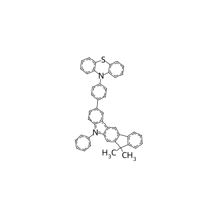 CC1(C)c2ccccc2-c2cc3c4cc(-c5ccc(N6c7ccccc7Sc7ccccc76)cc5)ccc4n(-c4ccccc4)c3cc21